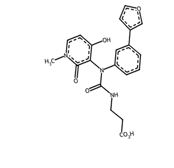 Cn1ccc(O)c(N(C(=O)NCCC(=O)O)c2cccc(-c3ccoc3)c2)c1=O